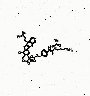 CCC(=O)N[C@@H](CCCCN)C(=O)Nc1ccc(COC(=O)O[C@]2(CC)C(=O)OCc3c2cc2n(c3=O)Cc3c-2nc2ccccc2c3CCN(C(C)=O)C(C)C)cc1